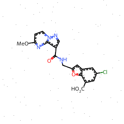 COc1ccn2ncc(C(=O)NCc3cc4cc(Cl)cc(C(=O)O)c4o3)c2n1